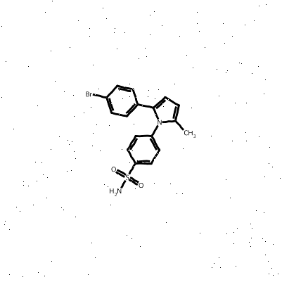 Cc1ccc(-c2ccc(Br)cc2)n1-c1ccc(S(N)(=O)=O)cc1